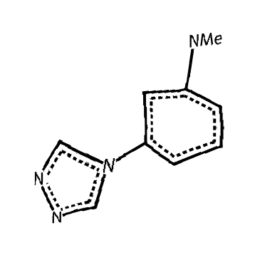 CNc1cccc(-n2cnnc2)c1